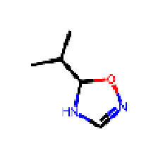 CC(C)C1NC=NO1